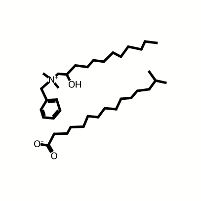 CC(C)CCCCCCCCCCCCC(=O)[O-].CCCCCCCCCCC(O)C[N+](C)(C)Cc1ccccc1